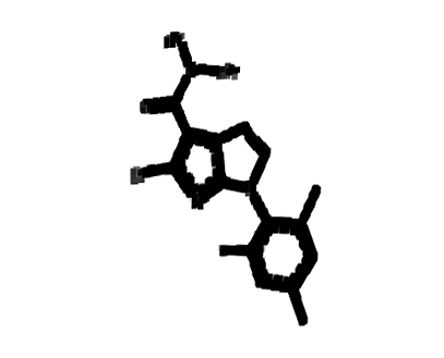 CCCN(CCC)C(=O)c1c(CC)nc2n1CCN2c1c(C)cc(C)cc1C